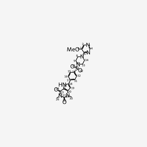 COc1cncnc1N1CCN(S(=O)(=O)c2ccc(-c3cc4c([nH]3)c(=O)n(C)c(=O)n4C)cc2)CC1